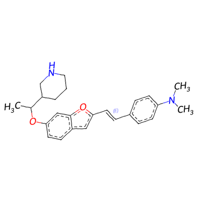 CC(Oc1ccc2cc(/C=C/c3ccc(N(C)C)cc3)oc2c1)C1CCCNC1